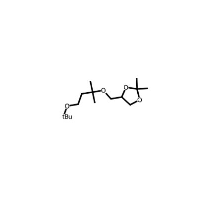 CC(C)(C)OCCC(C)(C)OCC1COC(C)(C)O1